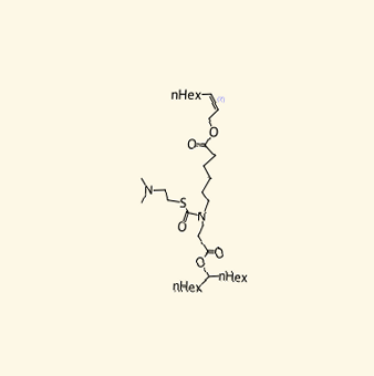 CCCCCC/C=C\COC(=O)CCCCCN(CCC(=O)OC(CCCCCC)CCCCCC)C(=O)SCCN(C)C